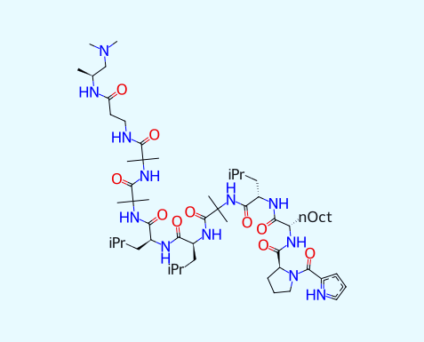 CCCCCCCC[C@H](NC(=O)[C@@H]1CCCN1C(=O)c1ccc[nH]1)C(=O)N[C@@H](CC(C)C)C(=O)NC(C)(C)C(=O)N[C@@H](CC(C)C)C(=O)N[C@@H](CC(C)C)C(=O)NC(C)(C)C(=O)NC(C)(C)C(=O)NCCC(=O)N[C@@H](C)CN(C)C